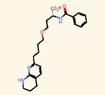 O=C(N[C@H](CCOCCCCc1ccc2c(n1)NCCC2)C(=O)O)c1ccccc1